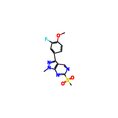 COc1ccc(-c2nn(C)c3nc(S(C)(=O)=O)ncc23)cc1F